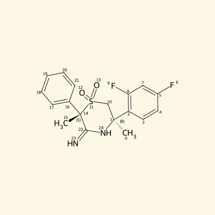 C[C@@]1(c2ccc(F)cc2F)CS(=O)(=O)[C@@](C)(c2ccccc2)C(=N)N1